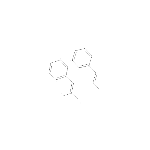 CC(C)C=Cc1ccccc1.CCC(=Cc1ccccc1)CC